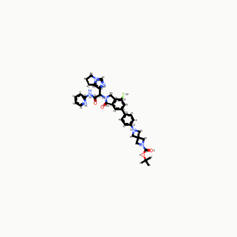 CC(C)(C)OC(=O)N1CC2(C1)CN(c1ccc(-c3cc(F)c4c(c3)C(=O)N(C(C(=O)Nc3ccccn3)c3ncn5c3CCC5)C4)cc1)C2